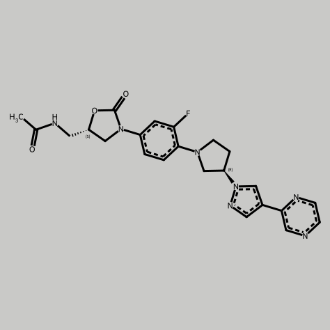 CC(=O)NC[C@H]1CN(c2ccc(N3CC[C@@H](n4cc(-c5cnccn5)cn4)C3)c(F)c2)C(=O)O1